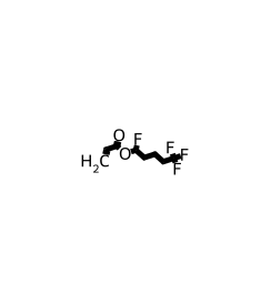 C=CC(=O)OC(F)CCCC(F)(F)F